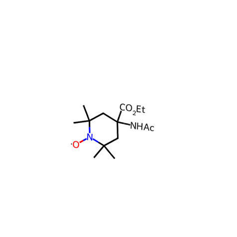 CCOC(=O)C1(NC(C)=O)CC(C)(C)N([O])C(C)(C)C1